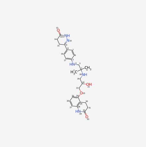 CC(C)(CNc1ccc(C2=NNC(=O)CC2)cc1)NCC(O)COc1cccc2c1CCC(=O)N2